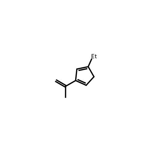 C=C(C)C1=CCC(CC)=C1